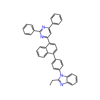 CCc1nc2ccccc2n1-c1ccc(-c2ccc(-c3cc(-c4ccccc4)nc(-c4ccccc4)n3)c3ccccc23)cc1